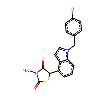 CN1C(=O)SC(c2cccc3c2ccn3Cc2ccc(Cl)cc2)C1=O